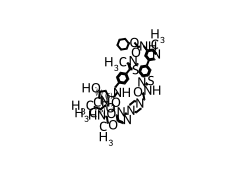 Cc1ncc(-c2ccc3nc(NC(=O)CN4CCN(c5ncc(OC(C)C(=O)N[C@H](C(=O)N6C[C@H](O)C[C@H]6C(=O)NCc6ccc(-c7scnc7C)cc6)C(C)(C)C)cn5)CC4)sc3c2)cc1NC(=O)OC1CCCCC1